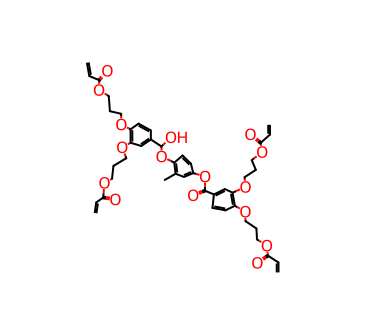 C=CC(=O)OCCCOc1ccc(C(=O)Oc2ccc(OC(O)c3ccc(OCCCOC(=O)C=C)c(OCCCOC(=O)C=C)c3)c(C)c2)cc1OCCCOC(=O)C=C